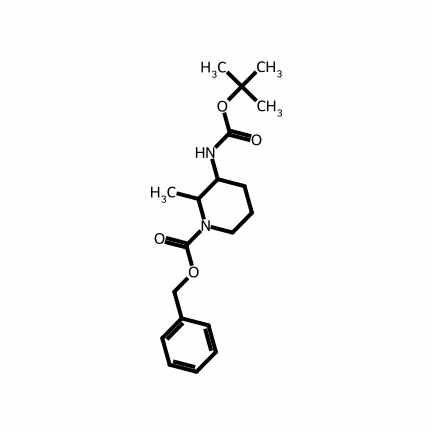 CC1C(NC(=O)OC(C)(C)C)CCCN1C(=O)OCc1ccccc1